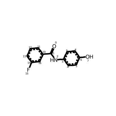 O=C(Nc1ccc(O)cc1)c1cccc(F)c1